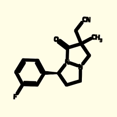 CC1(CC#N)CN2CC[C@@H](c3cccc(F)c3)N2C1=O